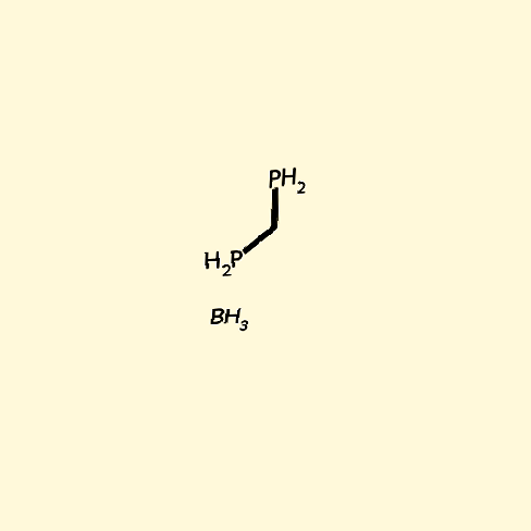 B.PCP